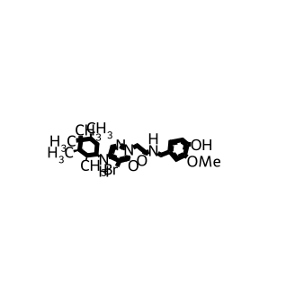 COc1cc(CNC(=O)Cn2ncc(N[C@@H]3C[C@H](C)C(C)(C)[C@H](C)[C@H]3C)c(Br)c2=O)ccc1O